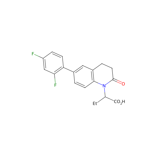 CCC(C(=O)O)N1C(=O)CCc2cc(-c3ccc(F)cc3F)ccc21